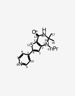 CCCN1c2cc(-c3ccncc3)sc2C(=O)NC1(C)C